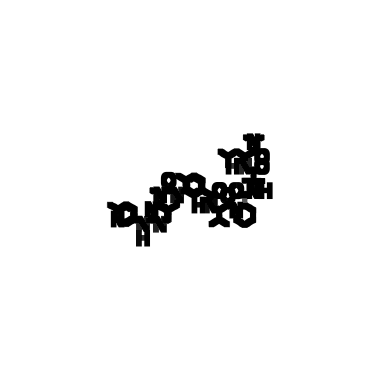 Cc1ccc(Nc2ncc3c(n2)N(C)C(=O)N(c2cc(C(=O)NC(C(=O)N4CCCC[C@H]4C(=O)NC(C)(C)C(=O)NC(CC(C)C)C(=O)N(C)C)C(C)C)ccc2C)C3)cn1